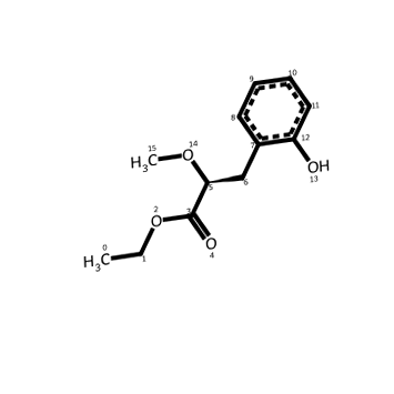 CCOC(=O)[C@H](Cc1ccccc1O)OC